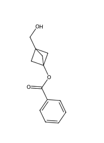 O=C(OC12CC(CO)(C1)C2)c1ccccc1